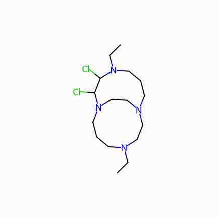 CCN1CCCN2CCN(CCCN(CC)C(Cl)C2Cl)CC1